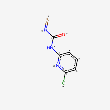 O=C(N=S)Nc1cccc(Cl)n1